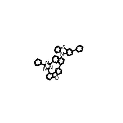 c1ccc(-c2ccc3c(c2)Sc2ccccc2N3c2ccc(-c3ccc4oc5cccc(-c6nc(-c7ccccc7)nc(-c7ccccc7)n6)c5c4c3)cc2)cc1